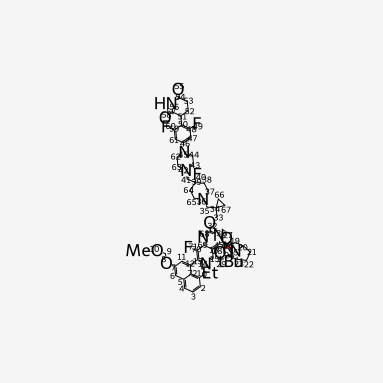 CCc1cccc2cc(OCOC)cc(-c3ncc4c(N5CC6CCC(C5)N6C(=O)OC(C)(C)C)nc(OCC5(CN6CCC(F)(CN7CCN(c8cc(F)c(C9CCC(=O)NC9=O)c(F)c8)CC7)CC6)CC5)nc4c3F)c12